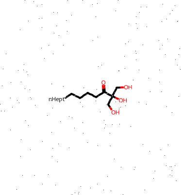 CCCCCCCCCCCC(=O)C(O)(CO)CO